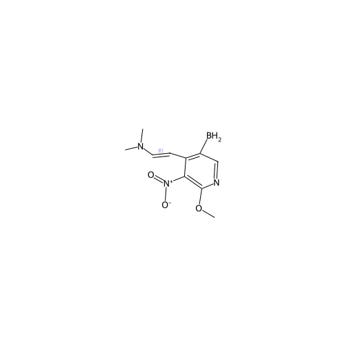 Bc1cnc(OC)c([N+](=O)[O-])c1/C=C/N(C)C